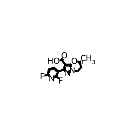 C[C@@H]1CCn2nc(-c3ccc(F)nc3F)c(C(=O)O)c2O1